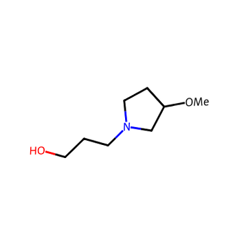 COC1CCN(CCCO)C1